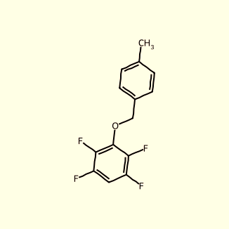 Cc1ccc(COc2c(F)c(F)cc(F)c2F)cc1